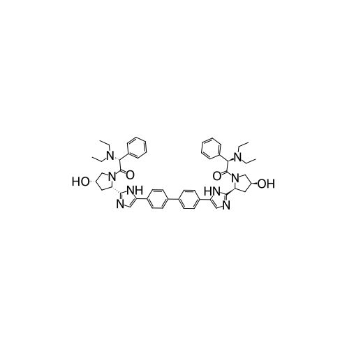 CCN(CC)[C@@H](C(=O)N1C[C@@H](O)C[C@H]1c1ncc(-c2ccc(-c3ccc(-c4cnc([C@@H]5C[C@H](O)CN5C(=O)[C@@H](c5ccccc5)N(CC)CC)[nH]4)cc3)cc2)[nH]1)c1ccccc1